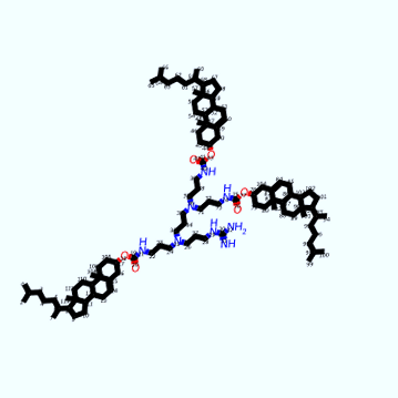 CC(C)CCCC(C)C1CCC2C3CC=C4CC(OC(=O)NCCCN(CCCNC(=N)N)CCCN(CCCNC(=O)OC5CCC6(C)C(=CCC7C6CCC6(C)C(C(C)CCCC(C)C)CCC76)C5)CCCNC(=O)OC5CCC6(C)C(=CCC7C6CCC6(C)C(C(C)CCCC(C)C)CCC76)C5)CCC4(C)C3CCC12C